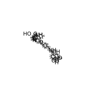 O=C(O)NC(c1ccccc1)(c1cccc(OCc2ccc(CCNC[C@H](O)c3ccc(O)c4[nH]c(=O)ccc34)cc2)c1)[C@H]1CN2CCC1CC2